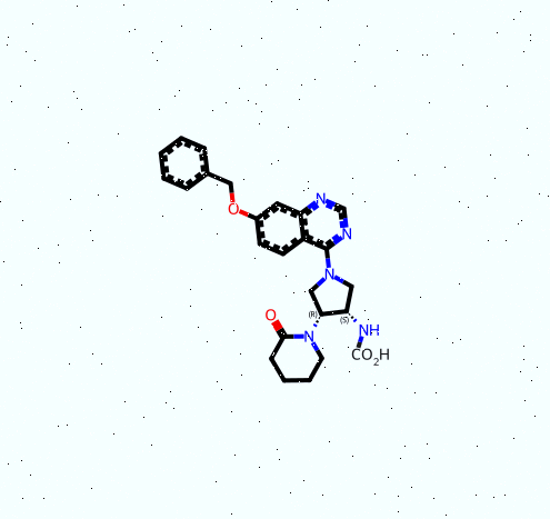 O=C(O)N[C@H]1CN(c2ncnc3cc(OCc4ccccc4)ccc23)C[C@H]1N1CCCCC1=O